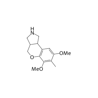 COc1cc2c(c(OC)c1C)OCC1CNCC21